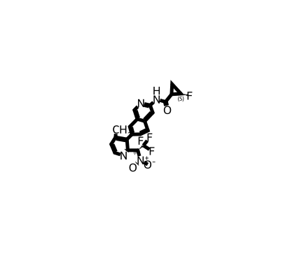 Cc1ccnc([C@@H]([N+](=O)[O-])C(F)(F)F)c1-c1ccc2cc(NC(=O)C3C[C@@H]3F)ncc2c1